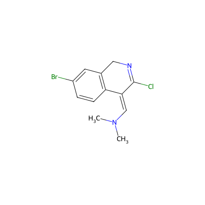 CN(C)/C=C1/C(Cl)=NCc2cc(Br)ccc21